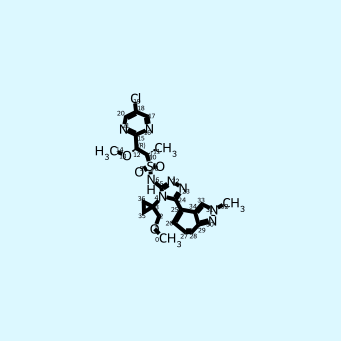 COCC1(n2c(NS(=O)(=O)[C@@H](C)[C@H](OC)c3ncc(Cl)cn3)nnc2-c2cccc3nn(C)cc23)CC1